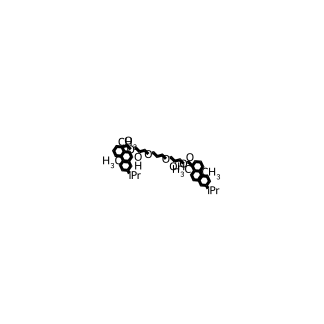 CC(C)C1CCC2=C(CCC3C(C)(C(=O)OCC(O)COCCCOCC(O)COC(=O)C4(C)CCCC5(C)C6=C(CCC45)CC(C(C)C)CC6)CCCC23C)C1